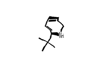 CC(C)(C)C1=CC=CCN1